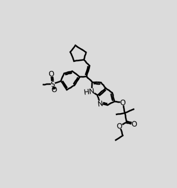 CCOC(=O)C(C)(C)Oc1cnc2[nH]c(C(=CC3CCCC3)c3ccc(S(C)(=O)=O)cc3)cc2c1